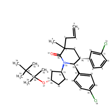 C=CCC1(C)C[C@H](c2cccc(Cl)c2)[C@@H](c2ccc(Cl)cc2)N([C@H]2CC[C@H](O[Si](C)(C)C(C)(C)C)C2)C1=O